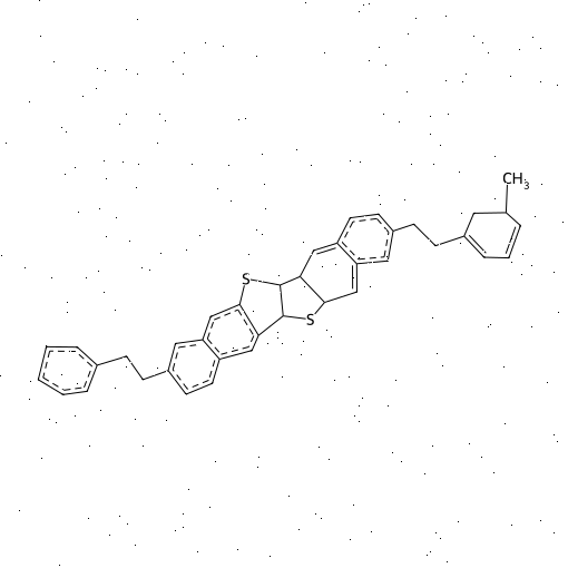 CC1C=CC=C(CCc2ccc3c(c2)=CC2SC4c5cc6ccc(CCc7ccccc7)cc6cc5SC4C2C=3)C1